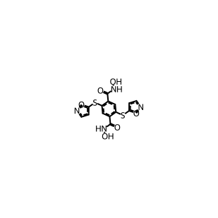 O=C(NO)c1cc(Sc2ccno2)c(C(=O)NO)cc1Sc1ccno1